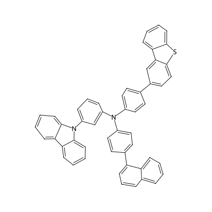 c1cc(N(c2ccc(-c3ccc4sc5ccccc5c4c3)cc2)c2ccc(-c3cccc4ccccc34)cc2)cc(-n2c3ccccc3c3ccccc32)c1